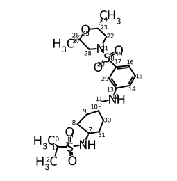 CC(C)S(=O)(=O)N[C@H]1CC[C@H](CNc2cccc(S(=O)(=O)N3C[C@@H](C)O[C@@H](C)C3)c2)CC1